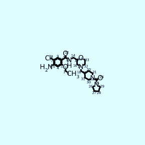 CCOc1cc(N)c(Cl)cc1C(=O)NCC1CN(CC2CCN(C(=O)N3CCCC3)CC2)CCO1